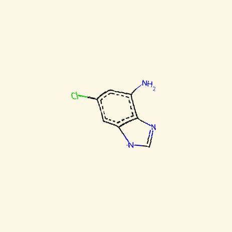 Nc1cc(Cl)cc2c1N=C[N]2